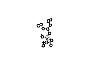 Cc1cccc(-c2nc(-c3cccc(-c4cc(-c5cccc(-c6cccc7ccccc67)c5)cc(-c5cccc(-c6cccc7ccccc67)c5)c4)c3)nc(N3c4ccccc4N(c4ccccc4)C4=CC5=C(CC43)C(C)(C)c3ccccc35)n2)c1